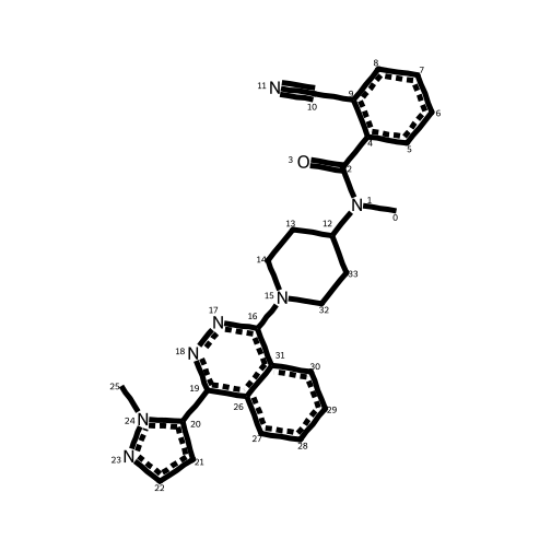 CN(C(=O)c1ccccc1C#N)C1CCN(c2nnc(-c3ccnn3C)c3ccccc23)CC1